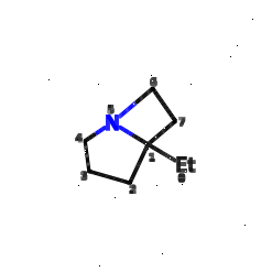 CCC12CCCN1CC2